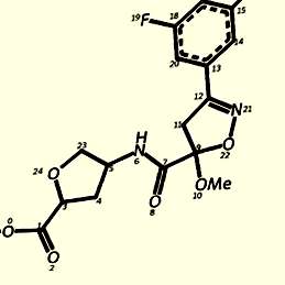 COC(=O)C1CC(NC(=O)C2(OC)CC(c3cc(F)cc(F)c3)=NO2)CO1